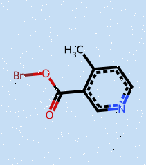 Cc1ccncc1C(=O)OBr